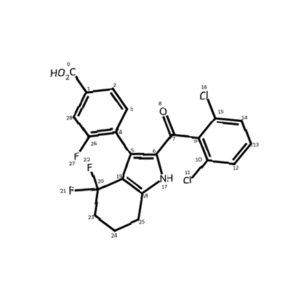 O=C(O)c1ccc(-c2c(C(=O)c3c(Cl)cccc3Cl)[nH]c3c2C(F)(F)CCC3)c(F)c1